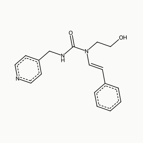 O=C(NCc1ccncc1)N(C=Cc1ccccc1)CCO